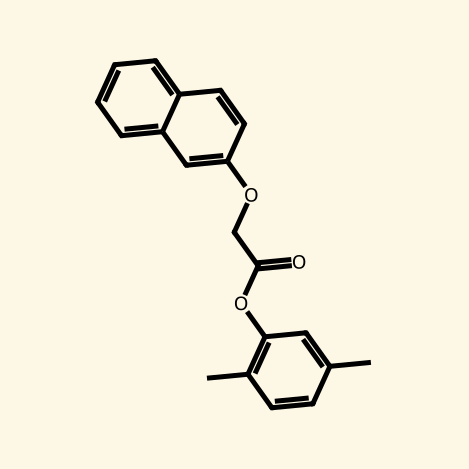 Cc1ccc(C)c(OC(=O)COc2ccc3ccccc3c2)c1